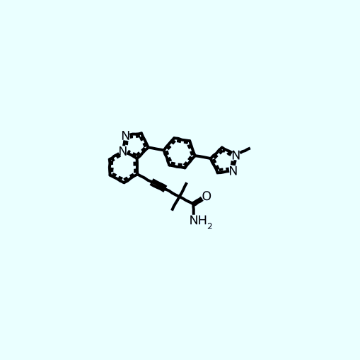 Cn1cc(-c2ccc(-c3cnn4cccc(C#CC(C)(C)C(N)=O)c34)cc2)cn1